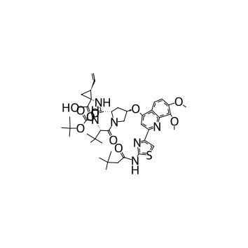 C=C[C@@H]1C[C@]1(NC(=O)[C@@H]1C[C@@H](Oc2cc(-c3csc(NC(=O)CC(C)(C)C)n3)nc3c(OC)c(OC)ccc23)CN1C(=O)[C@@H](NC(=O)OC(C)(C)C)C(C)(C)C)C(=O)O